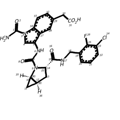 NC(=O)n1cc(NC(=O)N2[C@@H]3C[C@@H]3C[C@H]2C(=O)NCc2cccc(Cl)c2F)c2cc(CC(=O)O)ccc21